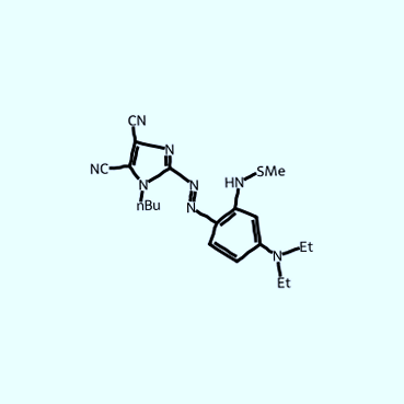 CCCCn1c(N=Nc2ccc(N(CC)CC)cc2NSC)nc(C#N)c1C#N